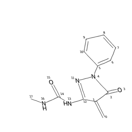 C=C1C(=O)N(c2ccccc2)N=C1NC(=O)NC